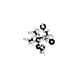 CC(C)C(=O)O[C@H]1[C@H](c2ccc3c(N)ncnn23)O[C@](C#N)(CO[P@](=O)(N[C@@H](C)C(=O)OC2CCOCC2)Oc2ccccc2)[C@H]1OC(=O)C(C)C